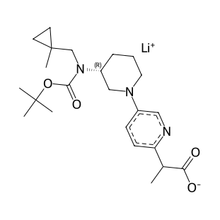 CC(C(=O)[O-])c1ccc(N2CCC[C@@H](N(CC3(C)CC3)C(=O)OC(C)(C)C)C2)cn1.[Li+]